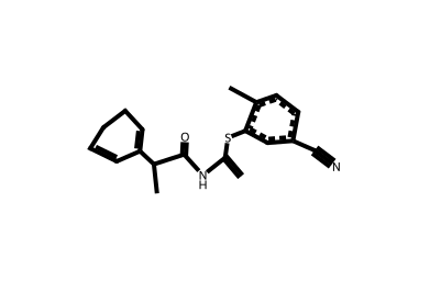 C=C(NC(=O)C(C)C1=CCCC=C1)Sc1cc(C#N)ccc1C